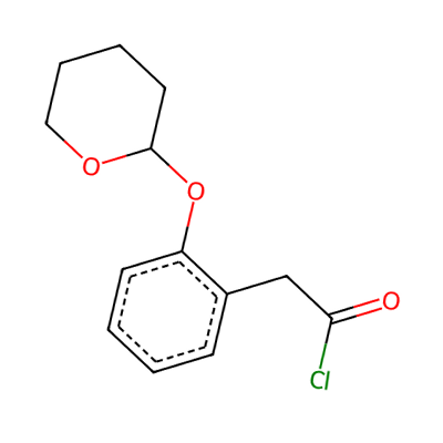 O=C(Cl)Cc1ccccc1OC1CCCCO1